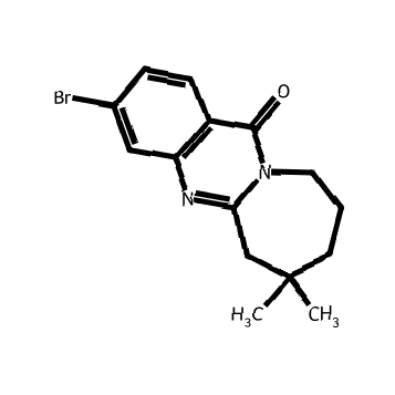 CC1(C)CCCn2c(nc3cc(Br)ccc3c2=O)C1